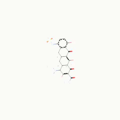 CN(C)C1C(O)=C(C(N)=O)C(=O)[C@]2(O)C(O)=C3C(=O)c4c(O)ccc(NS(C)(=O)=O)c4C[C@@H]3C[C@H]12